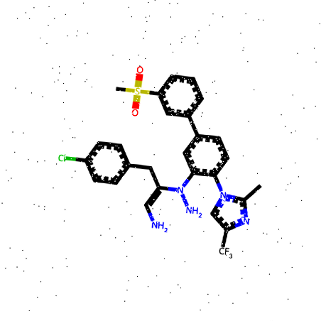 Cc1nc(C(F)(F)F)cn1-c1ccc(-c2cccc(S(C)(=O)=O)c2)cc1N(N)/C(=C\N)Cc1ccc(Cl)cc1